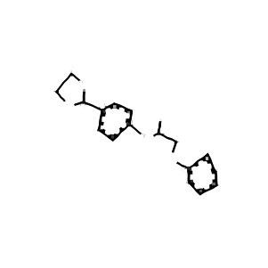 CC(COc1ccccc1)Oc1ccc(C2SCCS2)cc1